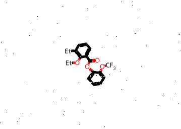 CCOc1c(CC)cccc1C(=O)Oc1ccccc1OC(F)(F)F